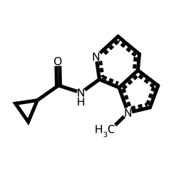 Cn1ccc2ccnc(NC(=O)C3CC3)c21